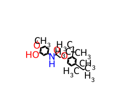 CCC(C)(C)c1ccc(OCC(=O)Nc2ccc(OC)c(O)c2)c(C(C)(C)CC)c1